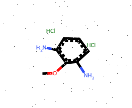 COc1c(N)cccc1N.Cl.Cl